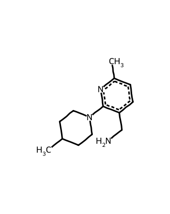 Cc1ccc(CN)c(N2CCC(C)CC2)n1